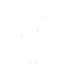 CC(C)CC1(c2ccc(F)cc2)OC(=O)C2=C1CNCC2